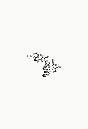 Nc1nc2c(ncn2[C@@H]2O[C@](F)(CO)[C@@H](O)[C@H]2OP(=O)(O)OC[C@H]2O[C@@H](n3cnc4c(N)ncnc43)[C@H](O)[C@@H]2O)c(=O)[nH]1